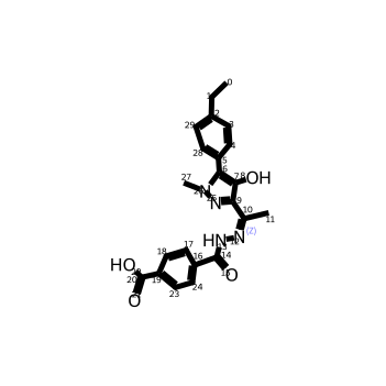 CCc1ccc(-c2c(O)c(/C(C)=N\NC(=O)c3ccc(C(=O)O)cc3)nn2C)cc1